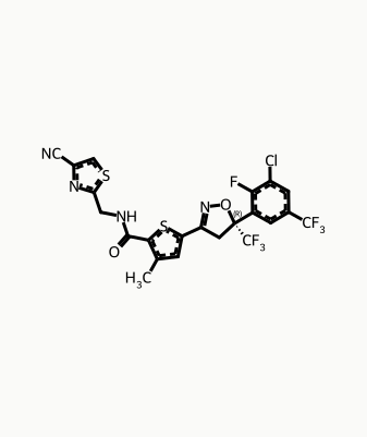 Cc1cc(C2=NO[C@](c3cc(C(F)(F)F)cc(Cl)c3F)(C(F)(F)F)C2)sc1C(=O)NCc1nc(C#N)cs1